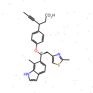 CC#CC(CC(=O)O)c1ccc(O[C@@H](Cc2csc(C)n2)c2ccc3cc[nH]c3c2C)cc1